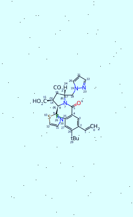 C=Cc1cc(C(=O)N2[C@@H](c3nccs3)[C@@H](C(=O)O)C[C@@]2(Cn2cccn2)C(=O)O)c(F)cc1C(C)(C)C